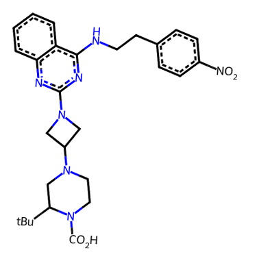 CC(C)(C)C1CN(C2CN(c3nc(NCCc4ccc([N+](=O)[O-])cc4)c4ccccc4n3)C2)CCN1C(=O)O